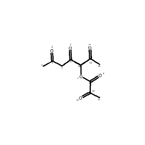 CC(=O)CC(=O)C(OC(=O)C(C)=O)C(C)=O